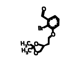 CC1(C)OC[C@H](CCOc2cccc(C=O)c2Br)O1